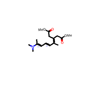 COC(=O)CC(CC(=O)OC)=C(C)/C=C/C=C(\C)N(C)C